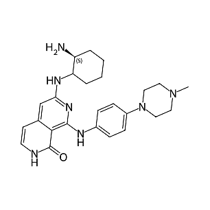 CN1CCN(c2ccc(Nc3nc(NC4CCCC[C@@H]4N)cc4cc[nH]c(=O)c34)cc2)CC1